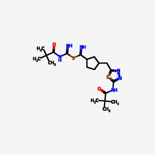 CC(C)(C)C(=O)NC(=N)SC(=N)C1CCC(Cc2nnc(NC(=O)C(C)(C)C)s2)C1